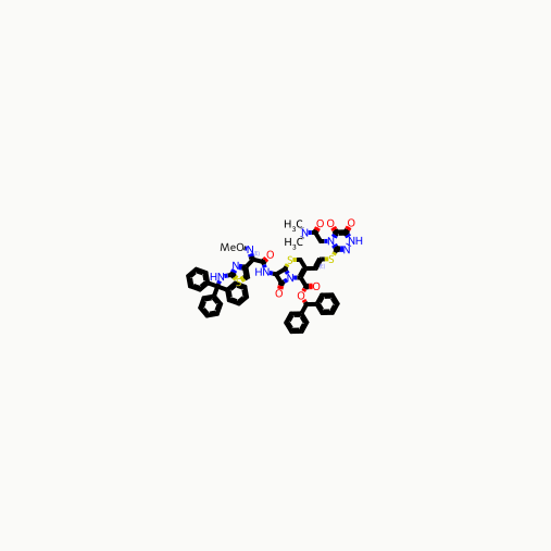 CO/N=C(/C(=O)NC1C(=O)N2C(C(=O)OC(c3ccccc3)c3ccccc3)=C(/C=C/Sc3n[nH]c(=O)c(=O)n3CC(=O)N(C)C)CSC12)c1csc(NC(c2ccccc2)(c2ccccc2)c2ccccc2)n1